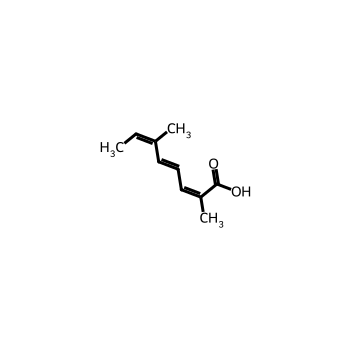 CC=C(C)C=CC=C(C)C(=O)O